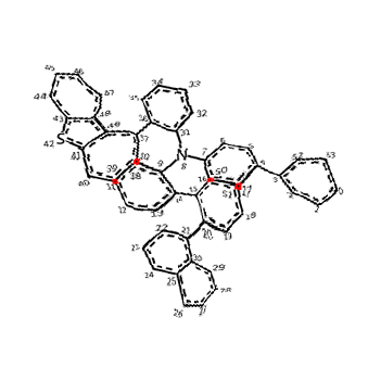 c1ccc(-c2ccc(N(c3ccccc3-c3ccccc3-c3cccc4ccccc34)c3ccccc3-c3cccc4sc5ccccc5c34)cc2)cc1